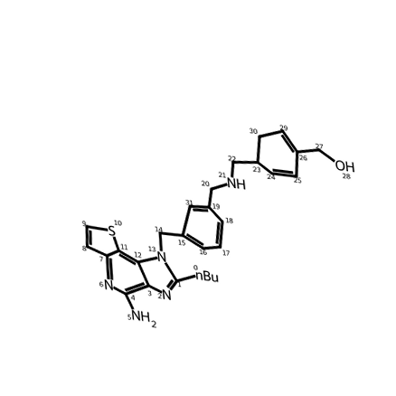 CCCCc1nc2c(N)nc3ccsc3c2n1Cc1cccc(CNCC2C=CC(CO)=CC2)c1